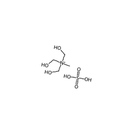 C[N+](CO)(CO)CO.O=S(=O)(O)O